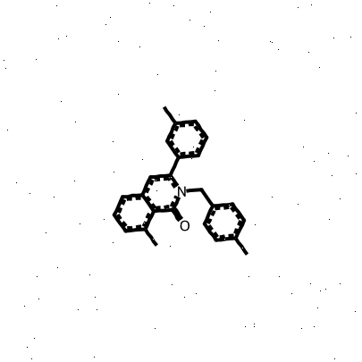 Cc1ccc(Cn2c(-c3cccc(C)c3)cc3cccc(C)c3c2=O)cc1